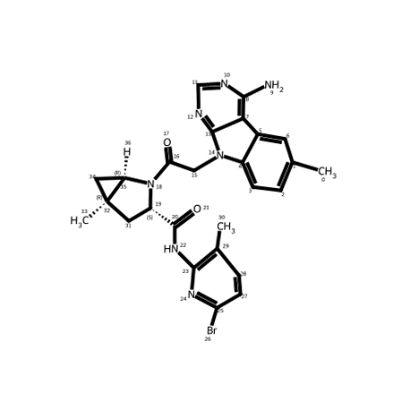 Cc1ccc2c(c1)c1c(N)ncnc1n2CC(=O)N1[C@H](C(=O)Nc2nc(Br)ccc2C)C[C@@]2(C)C[C@@H]12